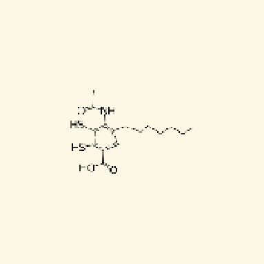 CCCCCCCc1cc(C(=O)O)c(S)c(S)c1NC(C)=O